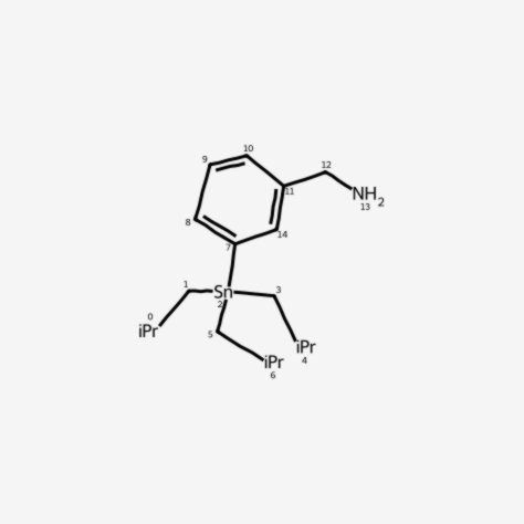 CC(C)[CH2][Sn]([CH2]C(C)C)([CH2]C(C)C)[c]1cccc(CN)c1